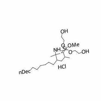 CCCCCCCCCCCCCCCCC(CC(C)C[Si](OC)(OCCO)OCCO)C(C)(C)N.Cl